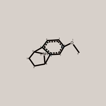 COc1ccc2c(c1)C1CCC2N1